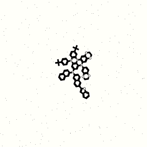 CC(C)(C)c1ccc(N2c3ccc(C(C)(C)C)cc3B3c4cc5c(cc4N(c4ccc6c(c4)OCCO6)c4cc(N(c6ccc7ccccc7c6)c6ccc7cc(-c8cc9ccccc9o8)ccc7c6)cc2c43)OCCO5)cc1